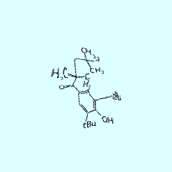 CC(C)(I)CC(C)(C)C(=O)c1cc(C(C)(C)C)c(O)c(C(C)(C)C)c1